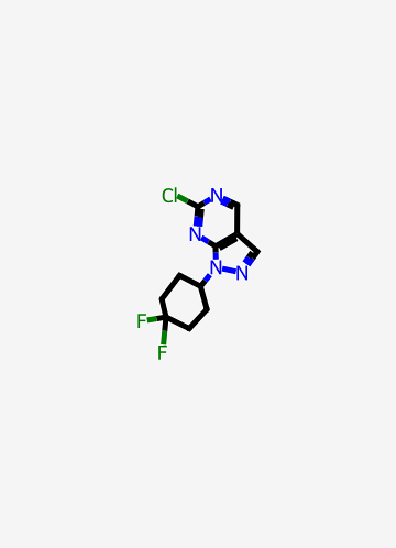 FC1(F)CCC(n2ncc3cnc(Cl)nc32)CC1